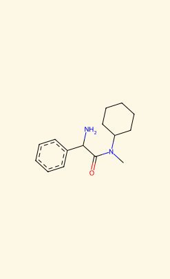 CN(C(=O)C(N)c1ccccc1)C1CCCCC1